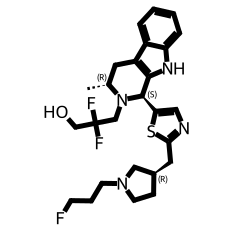 C[C@@H]1Cc2c([nH]c3ccccc23)[C@@H](c2cnc(C[C@H]3CCN(CCCF)C3)s2)N1CC(F)(F)CO